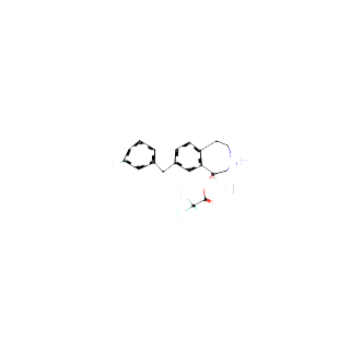 C[C@@]1(OC(=O)C(F)(F)F)CNCCc2ccc(Cc3cccc(F)c3)cc21